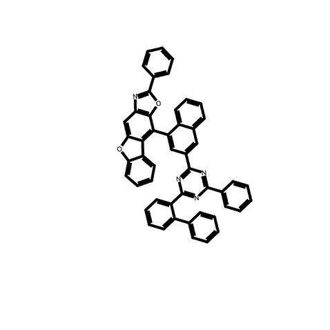 c1ccc(-c2nc(-c3cc(-c4c5oc(-c6ccccc6)nc5cc5oc6ccccc6c45)c4ccccc4c3)nc(-c3ccccc3-c3ccccc3)n2)cc1